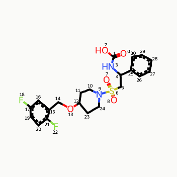 O=C(O)NC(CS(=O)(=O)N1CCC(OCc2cc(F)ccc2F)CC1)c1ccccc1